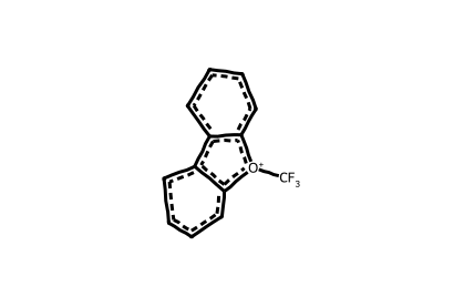 FC(F)(F)[o+]1c2ccccc2c2ccccc21